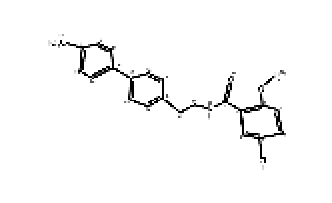 CCCOc1ccc(Cl)cc1C(=O)NCCc1ccc(-c2ccc(C(=O)O)cc2)cc1